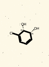 O[C@@H]1C=CC=C(Cl)[C@@H]1O